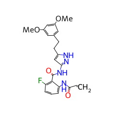 C=CC(=O)Nc1cccc(F)c1C(=O)Nc1cc(CCc2cc(OC)cc(OC)c2)[nH]n1